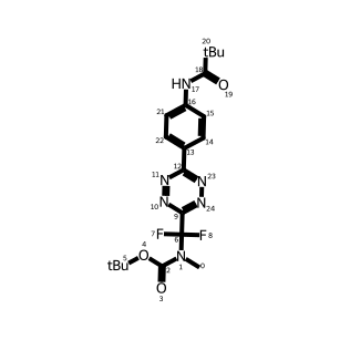 CN(C(=O)OC(C)(C)C)C(F)(F)c1nnc(-c2ccc(NC(=O)C(C)(C)C)cc2)nn1